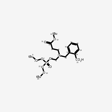 CC(C)(C)OOP(=O)(OCN(CCC(=O)OC(C)(C)C)Cc1ccccc1C(=O)O)OOC(C)(C)C